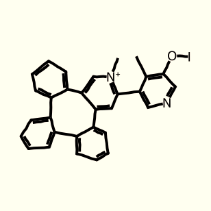 Cc1c(OI)cncc1-c1cc2c(c[n+]1C)-c1ccccc1-c1ccccc1-c1ccccc1-2